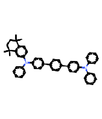 CC1(C)CCC(C)(C)c2cc(N(c3ccccc3)c3ccc(-c4ccc(-c5ccc(N(c6ccccc6)c6ccccc6)cc5)cc4)cc3)ccc21